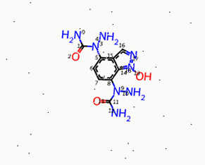 NC(=O)N(N)c1ccc(N(N)C(N)=O)c2c1cnn2O